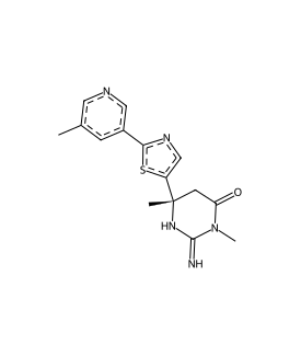 Cc1cncc(-c2ncc([C@]3(C)CC(=O)N(C)C(=N)N3)s2)c1